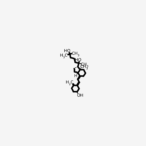 C=C1CC[C@H](O)C/C1=C/C=C1\CCC[C@@]2(C)[C@H]1CC[C@@H]2[C@@](C)(O)CCCC(C)(C)O